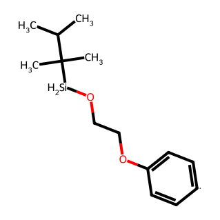 CC(C)C(C)(C)[SiH2]OCCOc1cc[c]cc1